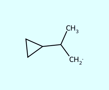 [CH2]C(C)C1CC1